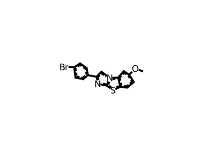 COc1ccc2sc3nc(-c4ccc(Br)cc4)cn3c2c1